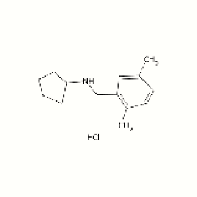 Cc1ccc(C)c(CNC2CCCC2)c1.Cl